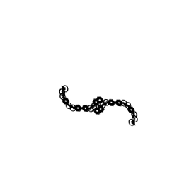 c1ccc2c(-c3c(OCOc4ccc(-c5ccc(OCOc6ccc(OCOC7CO7)cc6)cc5)cc4)ccc4ccccc34)c(OCOc3ccc(-c4ccc(OCOc5ccc(OCOC6CO6)cc5)cc4)cc3)ccc2c1